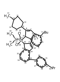 CCC(C)c1cccc2c1C=C(C1CCC(C)CC1)[CH]2[Zr]([Cl])([Cl])([CH]1C(C)=Cc2c(-c3ccc(C(C)C)cc3)cccc21)[SiH](C)C